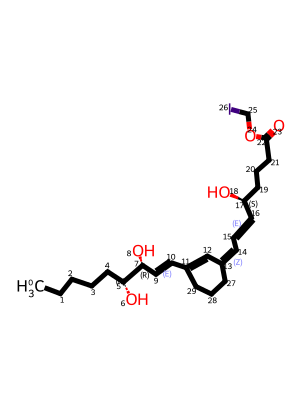 CCCCC[C@@H](O)[C@H](O)/C=C/C1=CC(=C\C=C\[C@@H](O)CCCC(=O)OCI)/CCC1